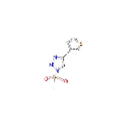 CS(=O)(=O)n1cc(-c2ccsc2)nn1